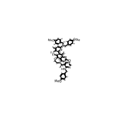 COc1ccc(CNc2ncncc2[C@@H](C)N2CCOc3c(Cl)c(-c4nc(N(Cc5ccc(OC)cc5)Cc5ccc(OC)cc5)cc(C)c4C(F)(F)F)c(F)c4nc(Cl)nc2c34)cc1